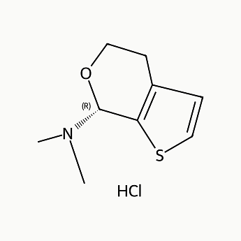 CN(C)[C@@H]1OCCc2ccsc21.Cl